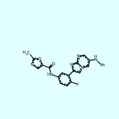 Cc1ncc(C(=O)Nc2ccc(F)c(-c3cn4cc(NC(C)C)cnc4n3)c2)o1